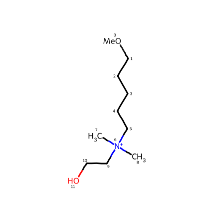 COCCCCC[N+](C)(C)CCO